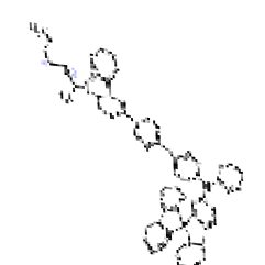 C=C/C=C\C=C(/C)n1c2ccccc2c2cc(-c3ccc(-c4ccc(N(c5ccccc5)c5ccc6c(c5)C5(c7ccccc7-c7ccccc75)c5ccccc5-6)cc4)cc3)ccc21